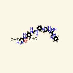 N=C/C(=C\NC1CCN(c2cccc(NCCNc3ccc(C(=O)NC(CCC=O)C(N)=O)c(C=O)c3)c2)CC1)c1cnc2ccccc2n1